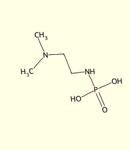 CN(C)CCNP(=O)(O)O